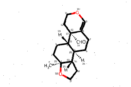 C[C@]12CC[C@H]3[C@@H](CCC4=COCC[C@@]43C=O)[C@@H]1CCO2